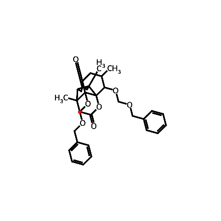 CC1=C2C(CC1=O)C1(C)CC(=O)OC23C(OCOCc2ccccc2)C(C)CCC13OCOCc1ccccc1